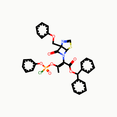 CC(OP(=O)(Cl)Oc1ccccc1)=C(C(=O)OC(c1ccccc1)c1ccccc1)N1C(=O)C2(COc3ccccc3)N=CSC12